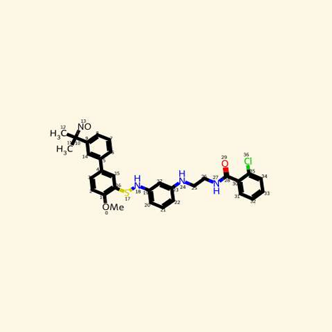 COc1ccc(-c2cccc(C(C)(C)N=O)c2)cc1SNc1cccc(NCCNC(=O)c2ccccc2Cl)c1